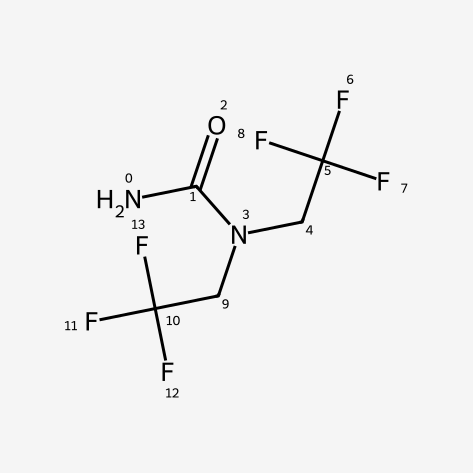 NC(=O)N(CC(F)(F)F)CC(F)(F)F